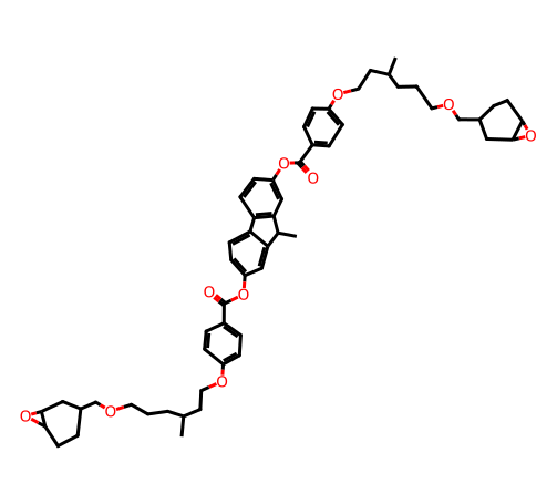 CC(CCCOCC1CCC2OC2C1)CCOc1ccc(C(=O)Oc2ccc3c(c2)C(C)c2cc(OC(=O)c4ccc(OCCC(C)CCCOCC5CCC6OC6C5)cc4)ccc2-3)cc1